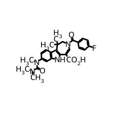 CN(C)C(=O)N(C)c1ccc2c3c([nH]c2c1)C(C(=O)O)=CN(C(=O)c1ccc(F)cc1)CC3(C)C